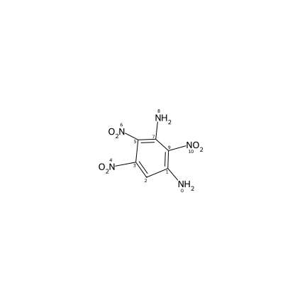 Nc1cc([N+](=O)[O-])c([N+](=O)[O-])c(N)c1[N+](=O)[O-]